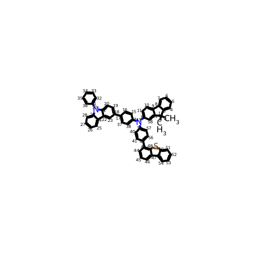 CC1(C)c2ccccc2-c2ccc(N(c3ccc(-c4ccc5c(c4)c4ccccc4n5-c4ccccc4)cc3)c3ccc(-c4cccc5c4sc4ccccc45)cc3)cc21